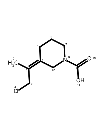 CC(CCl)=C1CCCN(C(=O)O)C1